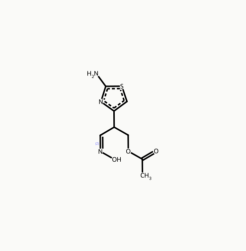 CC(=O)OCC(/C=N\O)c1csc(N)n1